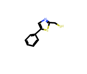 SCc1ncc(-c2ccccc2)s1